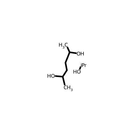 CC(C)O.CC(O)CCC(C)O